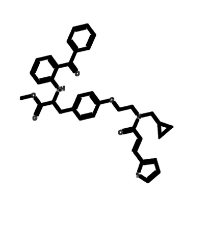 COC(=O)C(Cc1ccc(OCCN(CC2CC2)C(=O)C=Cc2cccs2)cc1)Nc1ccccc1C(=O)c1ccccc1